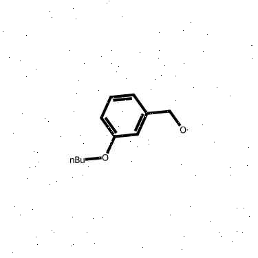 CCCCOc1cccc(C[O])c1